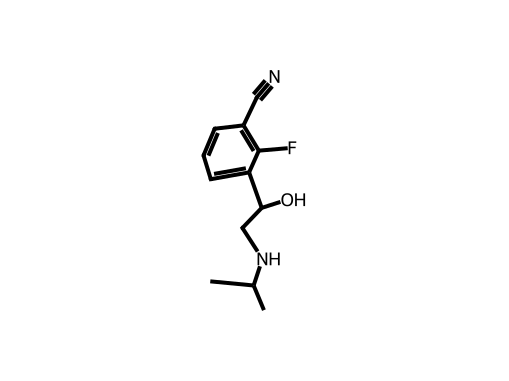 CC(C)NCC(O)c1cccc(C#N)c1F